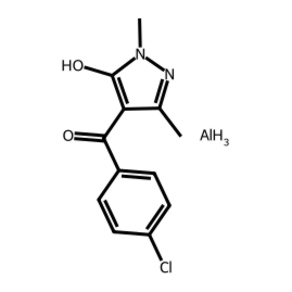 Cc1nn(C)c(O)c1C(=O)c1ccc(Cl)cc1.[AlH3]